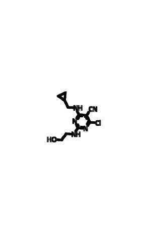 N#Cc1c(Cl)nc(NCCO)nc1NCC1CC1